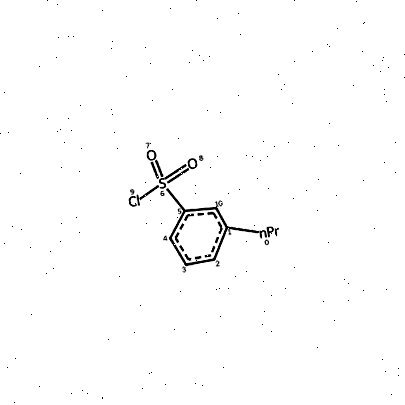 CCCc1cccc(S(=O)(=O)Cl)c1